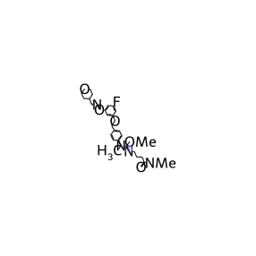 CNC(=O)CCC/N=C(\OC)N(C)c1ccc(COc2cc(F)cc(ON=CC3CCOCC3)c2)cc1